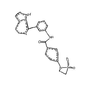 O=C(Nc1cccc(-c2nccc3cc[nH]c23)c1)c1ccc(N2CCS2(=O)=O)cc1